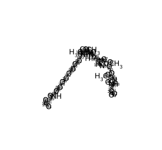 COc1cc2c(cc1OCCCOc1cc3c(cc1OC)C(=O)N1C=C(c4ccc5c(c4)OCO5)C[C@H]1C=N3)N=C[C@@H]1CC(c3ccc(NC(=O)[C@H](C)NC(=O)C(NC(=O)CCOCCOCCOCCOCCOCCOCCOCCOCCNC(=O)CCCC4C(=O)C=CC4=O)C(C)C)cc3)=CN1C2=O